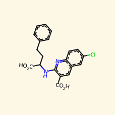 O=C(O)c1cc2cc(Cl)ccc2nc1NC(CCc1ccccc1)C(=O)O